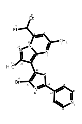 CCC(CC)c1cc(C)nc2c(-c3sc(-c4ccncc4)nc3Br)c(C)nn12